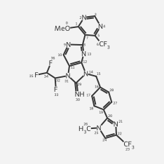 COc1ncnc(C(F)(F)F)c1-c1ncc2c(n1)n(Cc1ccc(-c3nc(C(F)(F)F)cn3C)cc1)c(=N)n2C(F)C(F)F